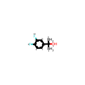 BC(B)(O)c1ccc(F)c(F)c1